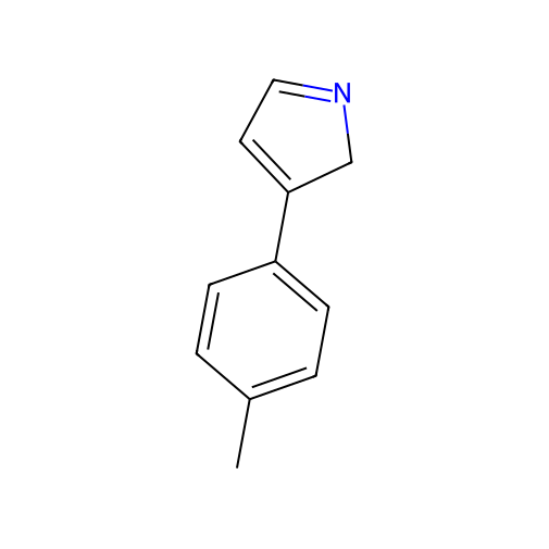 Cc1ccc(C2=CC=NC2)cc1